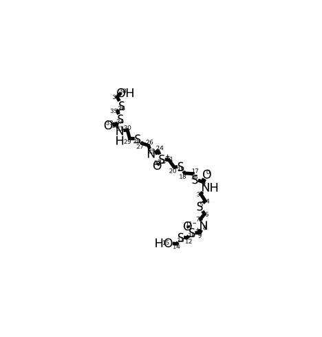 O=C(NCCSCC/N=C\[S+]([O-])CSCO)SCCSCC[S+]([O-])/C=N/CCSCCNC(=O)SCSCO